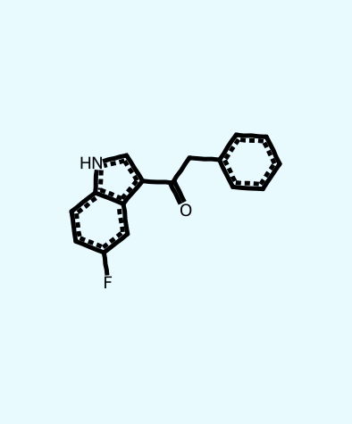 O=C(Cc1ccccc1)c1c[nH]c2ccc(F)cc12